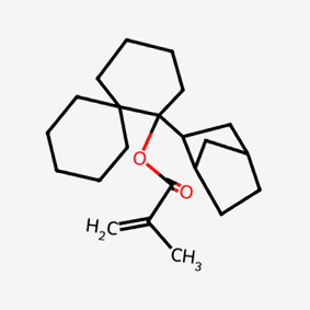 C=C(C)C(=O)OC1(C2CC3CCC2C3)CCCCC12CCCCC2